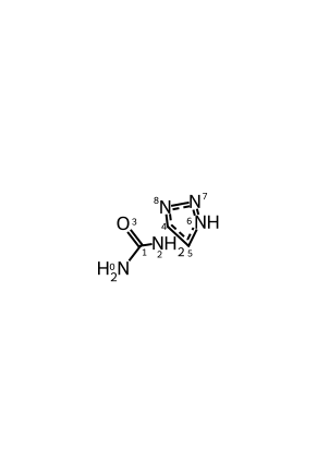 NC(N)=O.c1c[nH]nn1